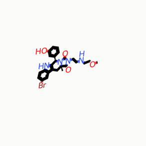 COCCNCCN1C(=O)N2[C@H](c3cccc(O)c3)c3[nH]c4ccc(Br)cc4c3C[C@@]2(C)C1=O